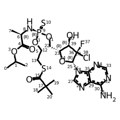 CC(C)OC(=O)[C@@H](C)N[P@](=S)(OCCSC(=O)C(C)(C)C)OC[C@H]1O[C@@H](n2cnc3c(N)ncnc32)[C@@](F)(Cl)[C@@H]1O